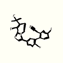 CC(C)(F)c1ccn2c(-c3ccc(F)c(-c4ccc(F)cc4C#N)c3)cnc2c1F